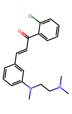 CN(C)CCN(C)c1cccc(C=CC(=O)c2ccccc2Cl)c1